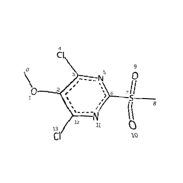 COc1c(Cl)nc(S(C)(=O)=O)nc1Cl